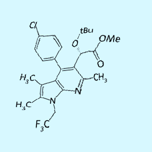 COC(=O)[C@@H](OC(C)(C)C)c1c(C)nc2c(c(C)c(C)n2CC(F)(F)F)c1-c1ccc(Cl)cc1